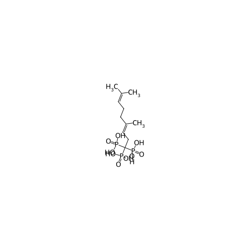 CC(C)=CCC/C(C)=C/CC(P(=O)(O)O)(P(=O)(O)O)P(=O)(O)O